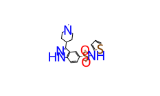 CN1CCC(c2n[nH]c3ccc(S(=O)(=O)Nc4cccs4)cc23)CC1